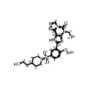 CCCOc1ccc(S(=O)(=O)N2CCC(CCO)CC2)cc1-c1nc2c([nH]1)c1nncn1c(=O)n2CC(C)C